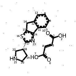 O=C(O)/C=C/C(=O)O.c1ccc2c(c1)Cc1sc([C@@H]3CCNC3)nc1-2